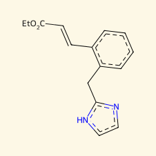 CCOC(=O)C=Cc1ccccc1Cc1ncc[nH]1